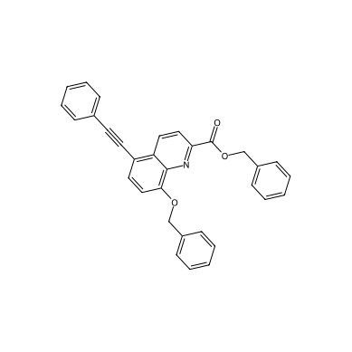 O=C(OCc1ccccc1)c1ccc2c(C#Cc3ccccc3)ccc(OCc3ccccc3)c2n1